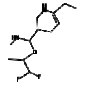 CCC1=CCC(C(NC)OC(C)C(F)F)CN1